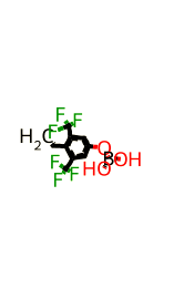 C=Cc1c(C(F)(F)F)cc(OB(O)O)cc1C(F)(F)F